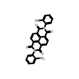 Nc1ccccc1N1C(=O)c2ccc3c4c(ccc(c24)C1=O)C(=O)N(c1ccccc1N=O)C3=O